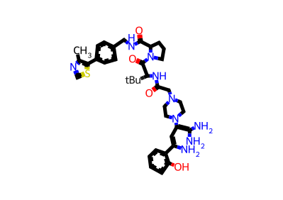 Cc1ncsc1-c1ccc(CNC(=O)C2CCCN2C(=O)C(NC(=O)CN2CCN(C(/C=C(\N)c3ccccc3O)=C(N)N)CC2)C(C)(C)C)cc1